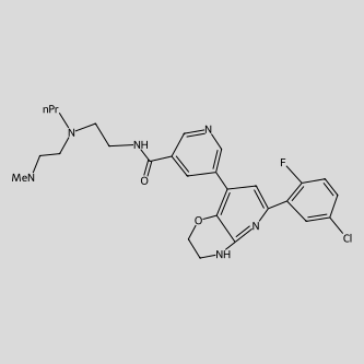 CCCN(CCNC)CCNC(=O)c1cncc(-c2cc(-c3cc(Cl)ccc3F)nc3c2OCCN3)c1